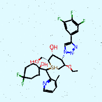 CCO[C@H]1C[SH](C(c2ncccc2C)C2(O)CCC(F)(F)CC2)[C@H](CO)[C@H](O)[C@@H]1n1cc(-c2cc(F)c(F)c(F)c2)nn1